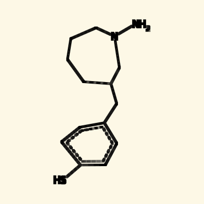 NN1CCCCC(Cc2ccc(S)cc2)C1